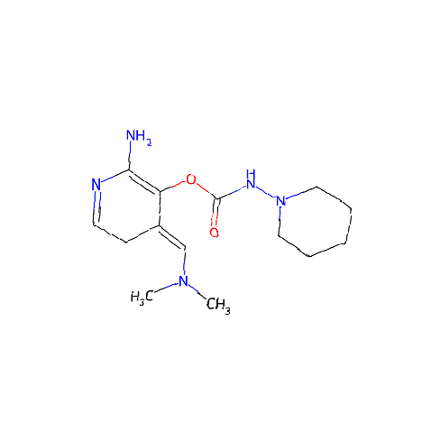 CN(C)C=C1CC=NC(N)=C1OC(=O)NN1CCCCC1